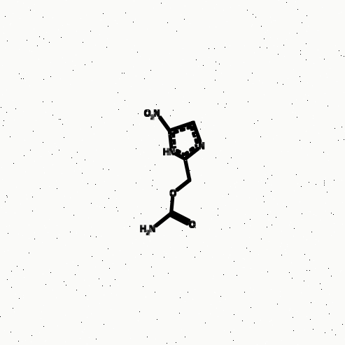 NC(=O)OCc1ncc([N+](=O)[O-])[nH]1